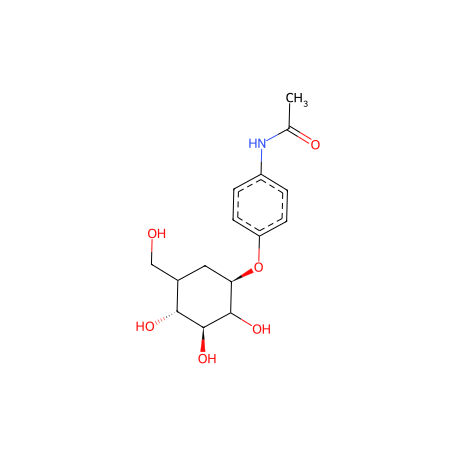 CC(=O)Nc1ccc(O[C@@H]2CC(CO)[C@@H](O)[C@H](O)C2O)cc1